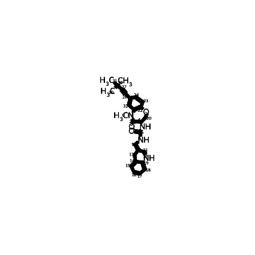 CN1C(=O)[C@@H](NC(=O)N/C=C(\C=N)Cc2ccccc2)COc2ccc(C#CC(C)(C)C)cc21